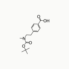 CN(CCc1ccc(C(=O)O)cc1)C(=O)OC(C)(C)C